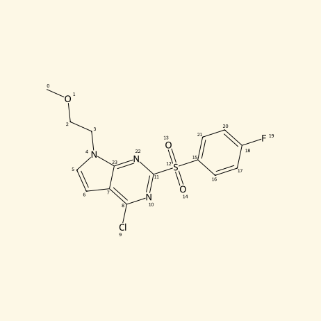 COCCn1ccc2c(Cl)nc(S(=O)(=O)c3ccc(F)cc3)nc21